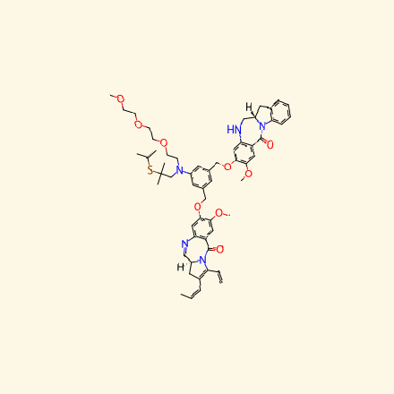 C=CC1=C(/C=C\C)C[C@H]2C=Nc3cc(OCc4cc(COc5cc6c(cc5OC)C(=O)N5c7ccccc7C[C@H]5CN6)cc(N(CCOCCOCCOC)CC(C)(C)SC(C)C)c4)c(OC)cc3C(=O)N12